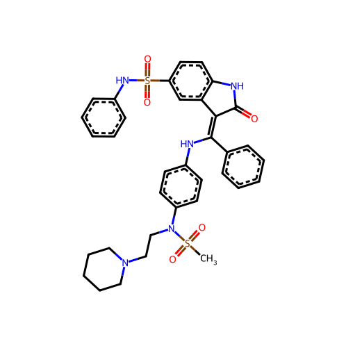 CS(=O)(=O)N(CCN1CCCCC1)c1ccc(NC(=C2C(=O)Nc3ccc(S(=O)(=O)Nc4ccccc4)cc32)c2ccccc2)cc1